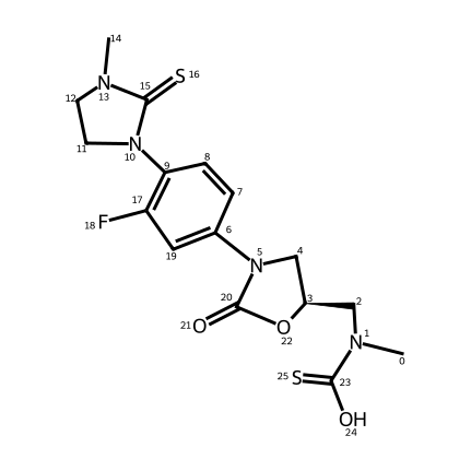 CN(C[C@@H]1CN(c2ccc(N3CCN(C)C3=S)c(F)c2)C(=O)O1)C(O)=S